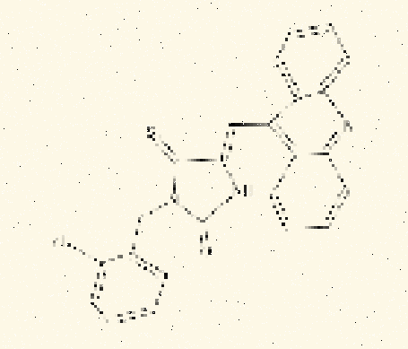 O=C1NC(=Cc2c3ccccc3nc3ccccc23)C(=S)N1Cc1ccccc1Cl